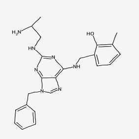 Cc1cccc(CNc2nc(NCC(C)N)nc3c2ncn3Cc2ccccc2)c1O